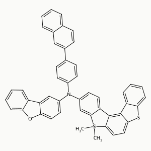 C[Si]1(C)c2cc(N(c3ccc(-c4ccc5ccccc5c4)cc3)c3ccc4oc5ccccc5c4c3)ccc2-c2c1ccc1sc3ccccc3c21